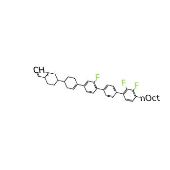 C=CC1CCC(C2CC=C(c3ccc(-c4ccc(-c5ccc(CCCCCCCC)c(F)c5F)cc4)c(F)c3)CC2)CC1